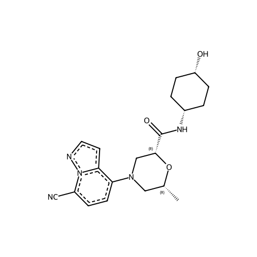 C[C@@H]1CN(c2ccc(C#N)n3nccc23)C[C@H](C(=O)N[C@H]2CC[C@@H](O)CC2)O1